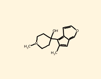 Cc1cc2coccc-2c1C1(O)CCN(C)CC1